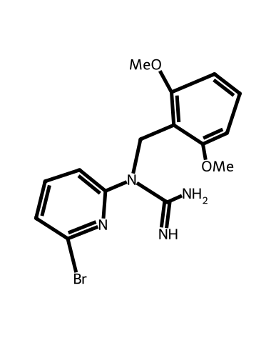 COc1cccc(OC)c1CN(C(=N)N)c1cccc(Br)n1